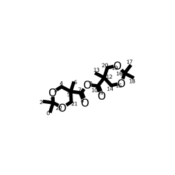 CC1(C)OCC(C)(C(=O)OC(=O)C2(C)COC(C)(C)OC2)CO1